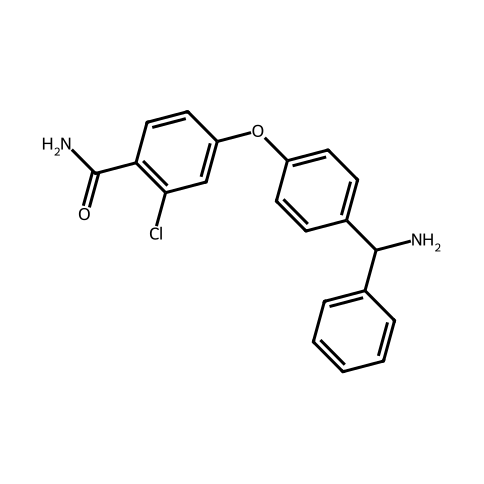 NC(=O)c1ccc(Oc2ccc(C(N)c3ccccc3)cc2)cc1Cl